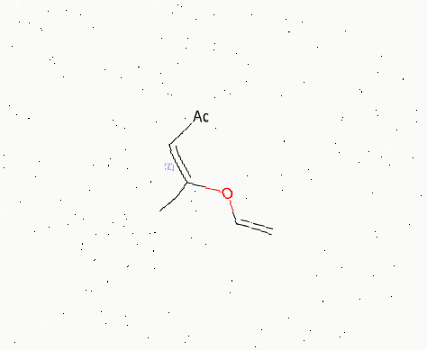 C=CO/C(C)=C\C(C)=O